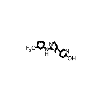 Oc1ccc(-c2ccnc(Nc3cccc(C(F)(F)F)c3)n2)cn1